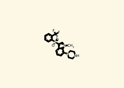 Cn1cc(S(=O)(=O)c2ccccc2C(F)(F)F)c2cccc(N3CCNCC3)c21